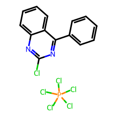 ClP(Cl)(Cl)(Cl)Cl.Clc1nc(-c2ccccc2)c2ccccc2n1